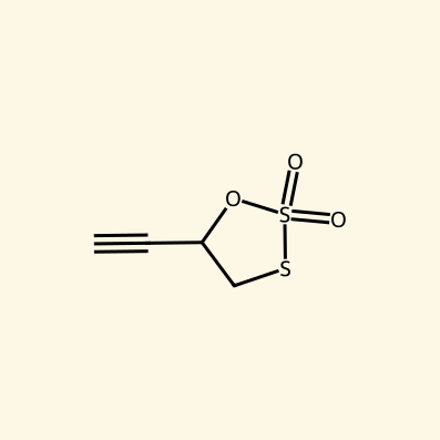 C#CC1CSS(=O)(=O)O1